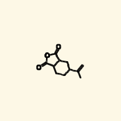 C=C(C)C1CCC2C(=O)OC(=O)C2C1